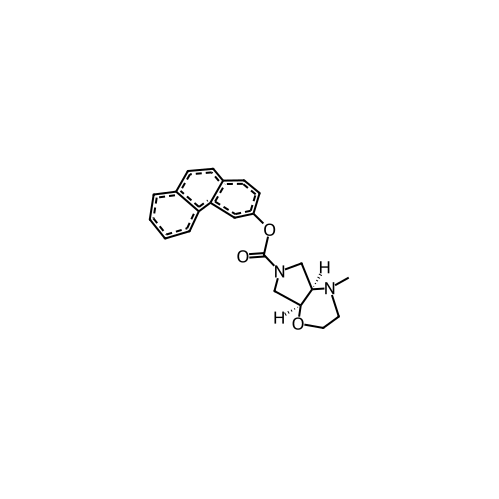 CN1CCO[C@H]2CN(C(=O)Oc3ccc4ccc5ccccc5c4c3)C[C@H]21